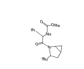 COC(=O)NC(C(=O)N1C2CC2CC1C(C)(C)C)C(C)C